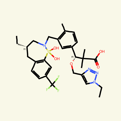 CC[C@H]1Cc2ccc(C(F)(F)F)cc2S(O)(O)N(Cc2cc([C@@H](OCc3cn(CC)nn3)C(C)(C)C(=O)O)ccc2C)C1